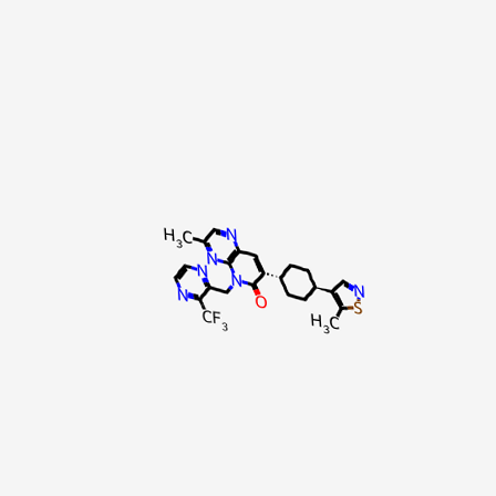 Cc1cnc2cc([C@H]3CC[C@H](c4cnsc4C)CC3)c(=O)n(Cc3nccnc3C(F)(F)F)c2n1